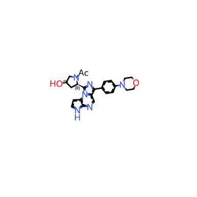 CC(=O)N1C[C@H](O)C[C@@H]1c1nc(-c2ccc(N3CCOCC3)cc2)c2cnc3[nH]ccc3n12